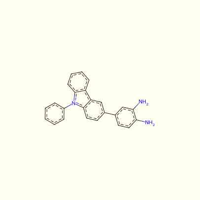 Nc1ccc(-c2ccc3c(c2)c2ccccc2n3-c2ccccc2)cc1N